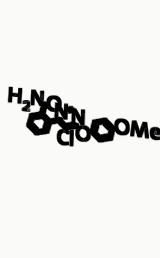 COc1ccc(Oc2ncnc(-c3ccccc3C(N)=O)c2Cl)cc1